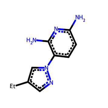 CCc1cnn(-c2ccc(N)nc2N)c1